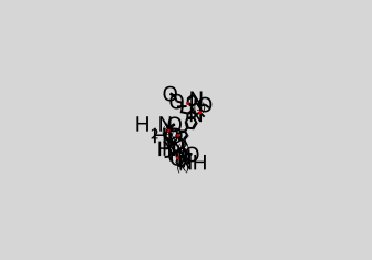 CCn1c(-c2cccnc2[C@H](C)OC)c(CC(C)(C)COC=O)c2cc(-c3cc(O)cc(C[C@H](NC(=O)C(C(C)C)N(C)C(=O)[C@H]4CC[C@@H](C(N)=O)O4)C(=O)N4CCC[C@@H](C)N4)c3)ccc21